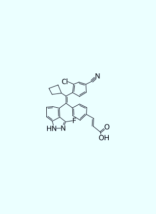 N#Cc1ccc(/C(=C(\c2ccc(/C=C/C(=O)O)cc2)c2cccc3[nH]nc(F)c23)C2CCC2)c(Cl)c1